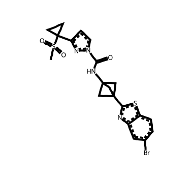 CS(=O)(=O)C1(c2ccn(C(=O)NC34CC(c5nc6cc(Br)ccc6s5)(C3)C4)n2)CC1